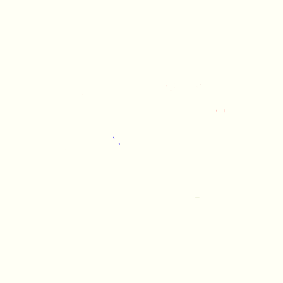 CC(=O)OCC1COC(=O)N1c1cccc(F)c1